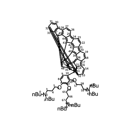 CCCCN(CCCC)CCCOc1ccc(C2N(C)CC34C5=c6ccc7c8ccc9c%10ccc%11c%12ccc%13c%14c(c%15c%16c3c6c7c3c8c9c6c%10c%11c(c%14%12)c%15c6c%163)C24C=%13C=C5)c(OCCCN(CCCC)CCCC)c1OCCCN(CCCC)CCCC